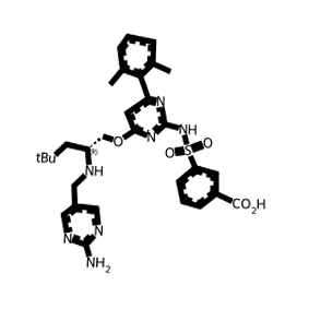 Cc1cccc(C)c1-c1cc(OC[C@@H](CC(C)(C)C)NCc2cnc(N)nc2)nc(NS(=O)(=O)c2cccc(C(=O)O)c2)n1